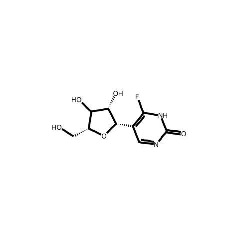 O=c1ncc([C@@H]2O[C@H](CO)C(O)[C@@H]2O)c(F)[nH]1